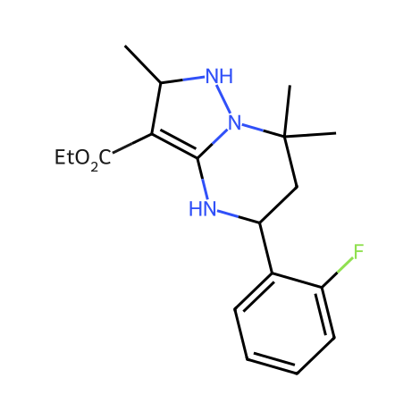 CCOC(=O)C1=C2NC(c3ccccc3F)CC(C)(C)N2NC1C